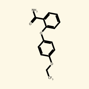 NC(=O)c1ccccc1Oc1ccc(OCC(F)(F)F)cc1